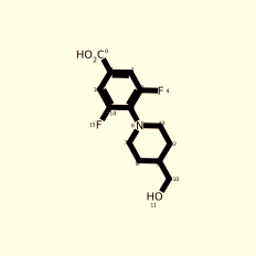 O=C(O)c1cc(F)c(N2CCC(CO)CC2)c(F)c1